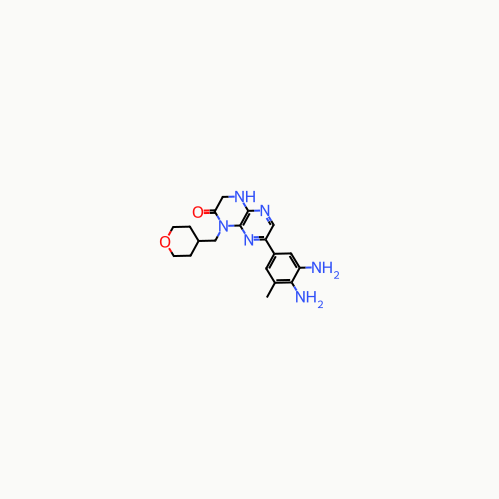 Cc1cc(-c2cnc3c(n2)N(CC2CCOCC2)C(=O)CN3)cc(N)c1N